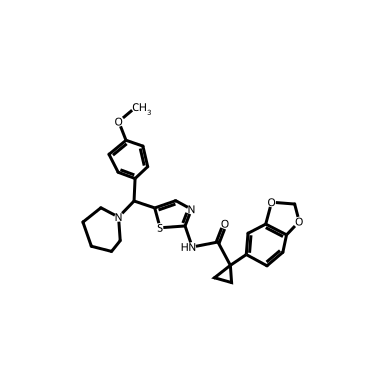 COc1ccc(C(c2cnc(NC(=O)C3(c4ccc5c(c4)OCO5)CC3)s2)N2CCCCC2)cc1